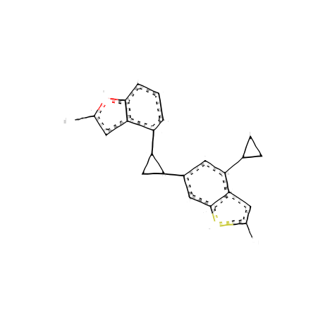 CCc1cc2c(C3CC3)cc(C3CC3c3cccc4oc(C(C)C)cc34)cc2s1